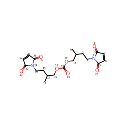 CC(CCN1C(=O)C=CC1=O)COC(=O)OCC(C)CCN1C(=O)C=CC1=O